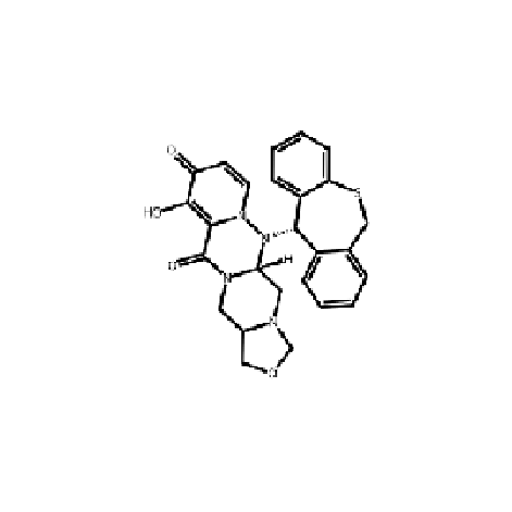 O=C1c2c(O)c(=O)ccn2N([C@H]2c3ccccc3CSc3ccccc32)[C@@H]2CN3COCC3CN12